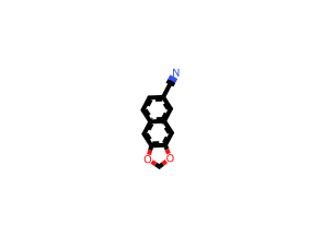 N#Cc1ccc2cc3c(cc2c1)OCO3